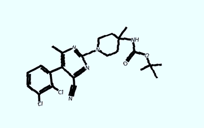 Cc1nc(N2CCC(C)(NC(=O)OC(C)(C)C)CC2)nc(C#N)c1-c1cccc(Cl)c1Cl